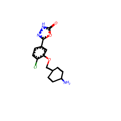 NC1CCC(COc2cc(-c3n[nH]c(=O)o3)ccc2Cl)CC1